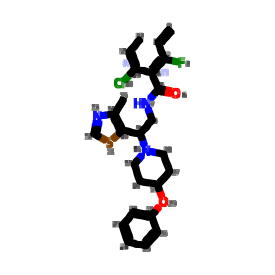 C=C/C(F)=C(C(=O)NCC(c1scnc1C)N1CCC(Oc2ccccc2)CC1)\C(Cl)=C/C